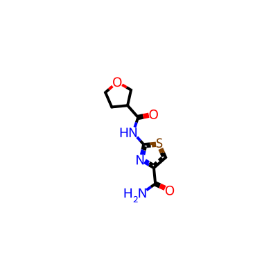 NC(=O)c1csc(NC(=O)C2CCOC2)n1